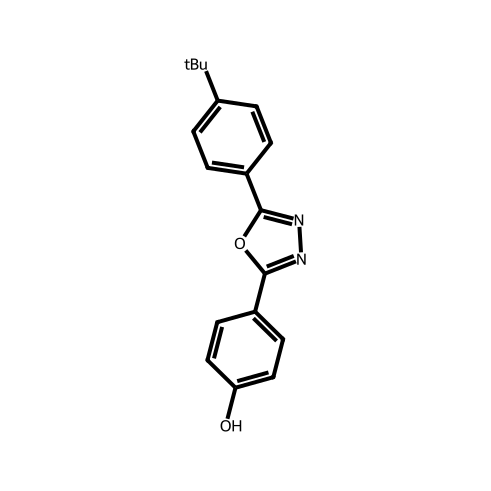 CC(C)(C)c1ccc(-c2nnc(-c3ccc(O)cc3)o2)cc1